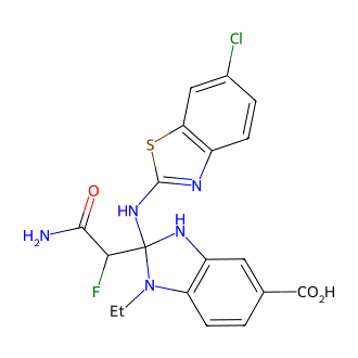 CCN1c2ccc(C(=O)O)cc2NC1(Nc1nc2ccc(Cl)cc2s1)C(F)C(N)=O